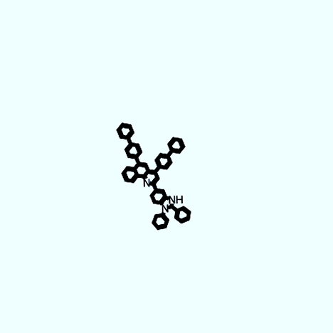 C1=CCCC(N2C3=C(C=C(c4cc(-c5ccc(-c6ccccc6)cc5)c5cc(-c6ccc(-c7ccccc7)cc6)c6ccccc6c5n4)CC3)NC2c2ccccc2)=C1